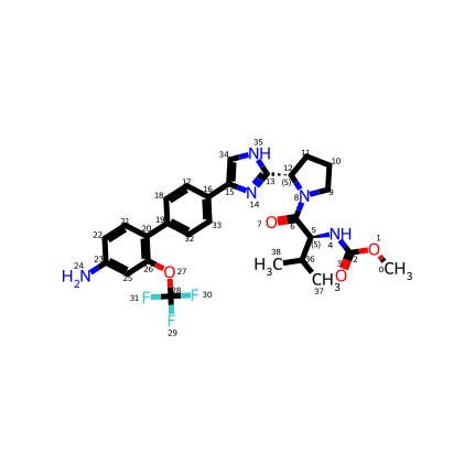 COC(=O)N[C@H](C(=O)N1CCC[C@H]1c1nc(-c2ccc(-c3ccc(N)cc3OC(F)(F)F)cc2)c[nH]1)C(C)C